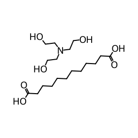 O=C(O)CCCCCCCCCCC(=O)O.OCCN(CCO)CCO